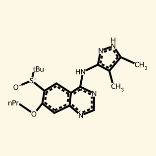 CCCOc1cc2ncnc(Nc3n[nH]c(C)c3C)c2cc1[S+]([O-])C(C)(C)C